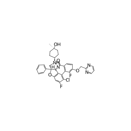 C[C@]1(O)CC[C@@H](NC[C@@]2(c3ccccc3)Cc3c(cc(F)c(Cl)c3-c3c(C(N)=O)ccc(OCc4ncccn4)c3F)O2)CC1